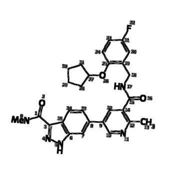 CNC(=O)c1n[nH]c2cc(-c3cnc(C)c(C(=O)NCc4cc(F)ccc4OC4CCCC4)c3)ccc12